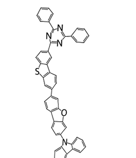 c1ccc(-c2nc(-c3ccccc3)nc(-c3ccc4sc5cc(-c6ccc7c(c6)oc6cc(-n8c9ccccc9c9ccccc98)ccc67)ccc5c4c3)n2)cc1